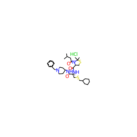 CC(C)CC(=O)N1C(C(=O)N[C@@H](CSCC2CCCCC2)C(=O)NC2CCN(Cc3ccccc3)CC2)CSC1(C)C.Cl